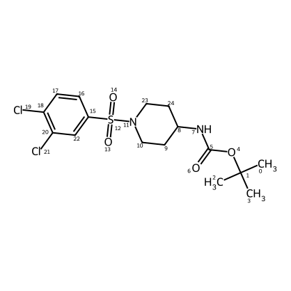 CC(C)(C)OC(=O)NC1CCN(S(=O)(=O)c2ccc(Cl)c(Cl)c2)CC1